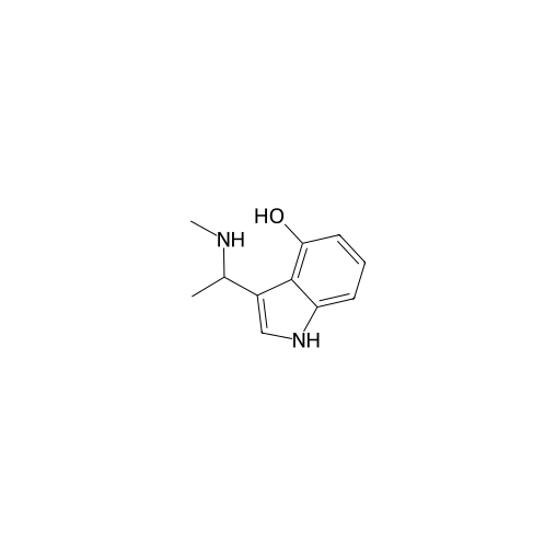 CNC(C)c1c[nH]c2cccc(O)c12